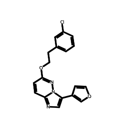 Clc1cccc(CCOc2ccc3ncc(-c4ccoc4)n3n2)c1